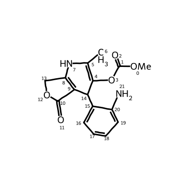 COC(=O)OC1=C(C)NC2=C(C(=O)OC2)C1c1ccccc1N